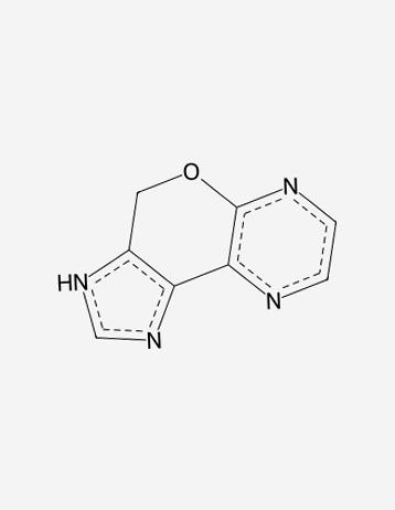 c1cnc2c(n1)OCc1[nH]cnc1-2